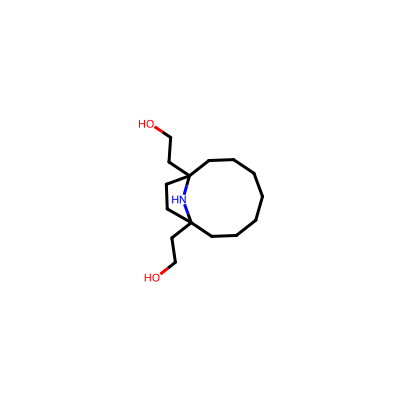 OCCC12CCCCCCCC(CCO)(CC1)N2